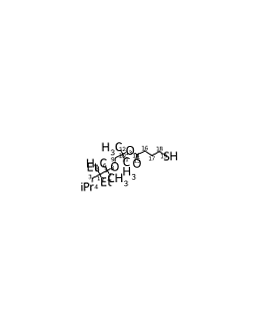 CCC(CC)(CC(C)C)C(C)(C)OCC(C)(C)OC(=O)CCCS